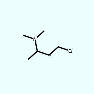 CC([CH]CCl)N(C)C